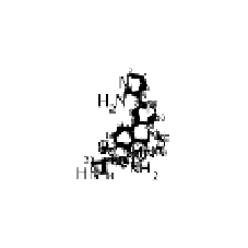 Nc1ncccc1-c1cc(-c2ccc(S(=O)(=O)C3CNC3)c(S(N)(=O)=O)c2-c2nnn[nH]2)ccn1